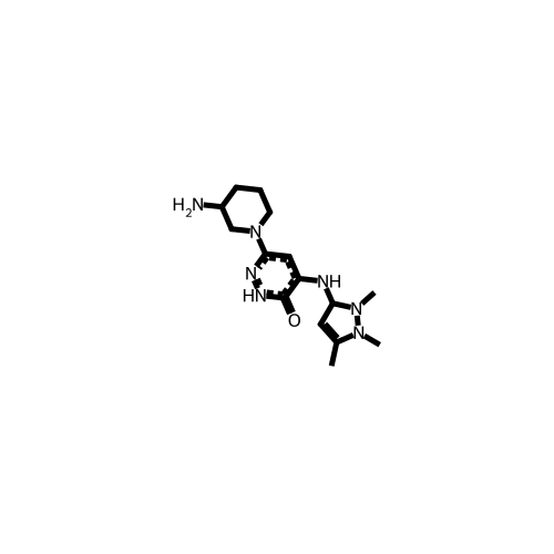 CC1=CC(Nc2cc(N3CCCC(N)C3)n[nH]c2=O)N(C)N1C